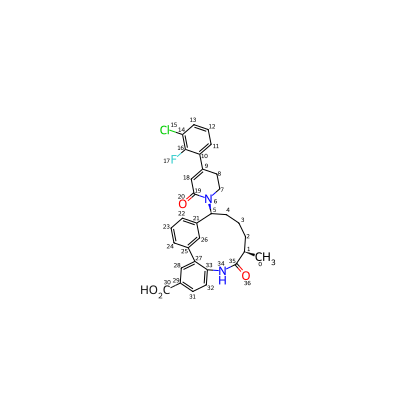 C[C@@H]1CCC[C@H](N2CCC(c3cccc(Cl)c3F)=CC2=O)c2cccc(c2)-c2cc(C(=O)O)ccc2NC1=O